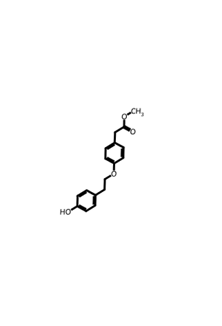 COC(=O)Cc1ccc(OCCc2ccc(O)cc2)cc1